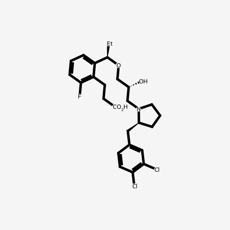 CC[C@@H](OC[C@H](O)CN1CCC[C@H]1Cc1ccc(Cl)c(Cl)c1)c1cccc(F)c1CCC(=O)O